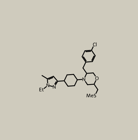 CCn1nc(C2CCC(N3CC(CSC)OCC3Cc3ccc(Cl)cc3)CC2)cc1C